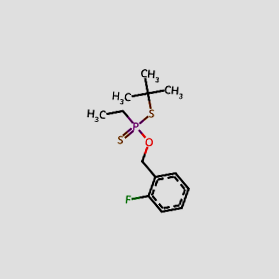 CCP(=S)(OCc1ccccc1F)SC(C)(C)C